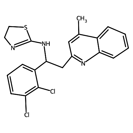 Cc1cc(CC(NC2=NCCS2)c2cccc(Cl)c2Cl)nc2ccccc12